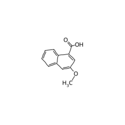 COc1cc(C(=O)O)c2ccccc2c1